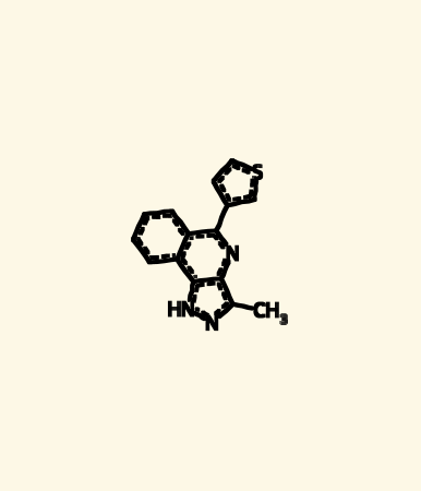 Cc1n[nH]c2c1nc(-c1ccsc1)c1ccccc12